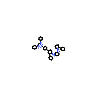 c1ccc(-c2cc(-c3ccccc3)nc(-c3ccc(-c4ccc5c(c4)c4ccccc4n5-c4cccc(-n5c6ccccc6c6ccccc65)c4)cc3)n2)cc1